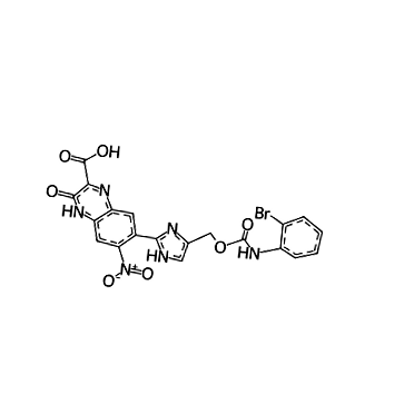 O=C(Nc1ccccc1Br)OCc1c[nH]c(-c2cc3nc(C(=O)O)c(=O)[nH]c3cc2[N+](=O)[O-])n1